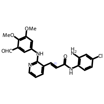 COc1cc(Nc2ncccc2/C=C/C(=O)Nc2ccc(Cl)cc2N)cc(C=O)c1OC